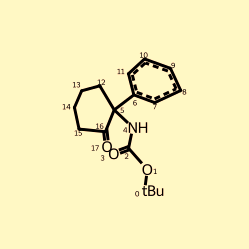 CC(C)(C)OC(=O)NC1(c2ccccc2)CCCCC1=O